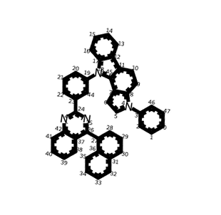 c1ccc(-n2ccc3c2ccc2c4ccccc4n(-c4cccc(-c5nc(-c6cccc7ccccc67)c6ccccc6n5)c4)c23)cc1